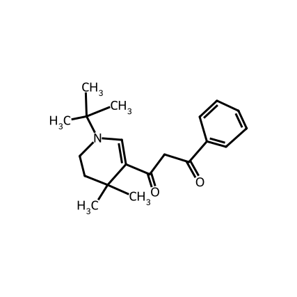 CC1(C)CCN(C(C)(C)C)C=C1C(=O)CC(=O)c1ccccc1